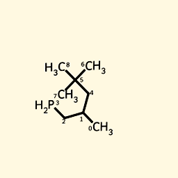 CC(CP)CC(C)(C)C